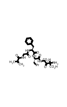 C=C(C)C(=O)NCC(=O)N[C@@H](Cc1ccccc1)C(=O)N[C@@H](CC(C)C)C(=O)NCC(=O)C(N)(C(=O)O)C(=O)O